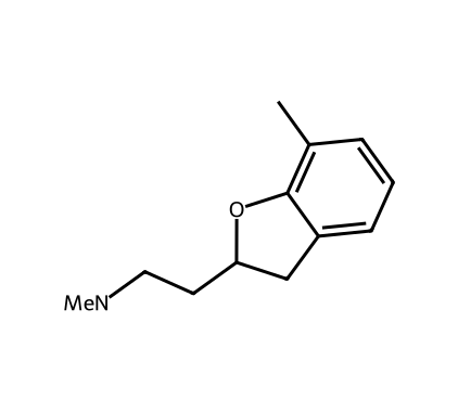 CNCCC1Cc2cccc(C)c2O1